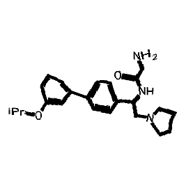 CC(C)Oc1cccc(-c2ccc(C(CN3CCCC3)NC(=O)CN)cc2)c1